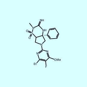 CCc1nc(N2CC3[C@](c4ccccc4)(C2)NC(=N)N(C)S3(=O)=O)nc(OC)c1F